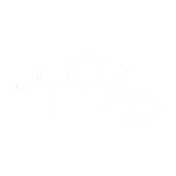 CNC(=O)c1cccc(S(=O)(=O)C2CCCC2)c1